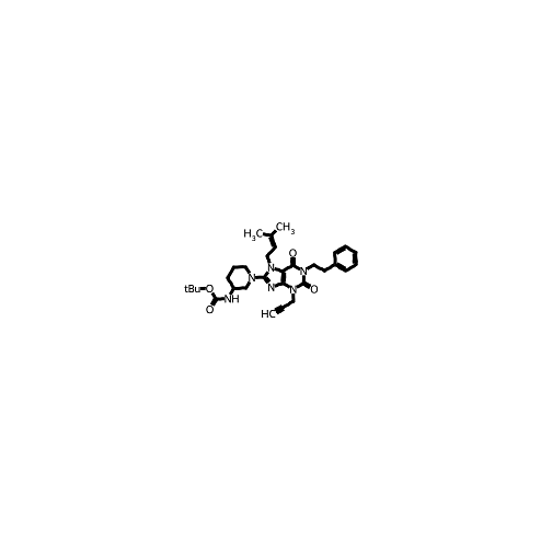 C#CCn1c(=O)n(CCc2ccccc2)c(=O)c2c1nc(N1CCCC(NC(=O)OC(C)(C)C)C1)n2CC=C(C)C